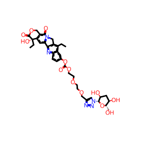 CCc1c2c(nc3ccc(OC(=O)OCCOCCOCc4cn([C@H]5O[C@@H](CO)[C@H](O)C[C@@H]5O)nn4)cc13)-c1cc3c(c(=O)n1C2)COC(=O)[C@]3(O)CC